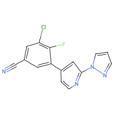 N#Cc1cc(Cl)c(F)c(-c2ccnc(-n3cccn3)c2)c1